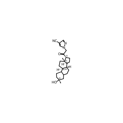 C[C@@]1(O)CCC2C(CC[C@@H]3[C@@H]2CC[C@]2(C)[C@@H](C(=O)Cn4cc(C#N)cn4)CC[C@@H]32)C1